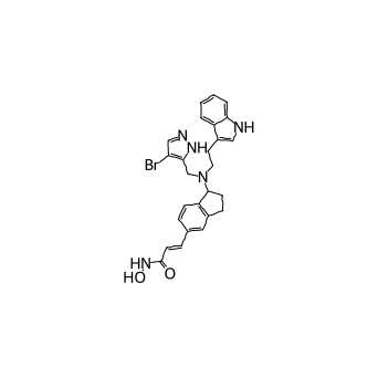 O=C(/C=C/c1ccc2c(c1)CCC2N(CCc1c[nH]c2ccccc12)Cc1[nH]ncc1Br)NO